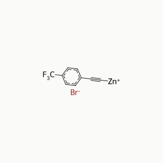 FC(F)(F)c1ccc(C#[C][Zn+])cc1.[Br-]